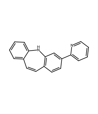 C1=Cc2ccc(-c3ccccn3)cc2Nc2ccccc21